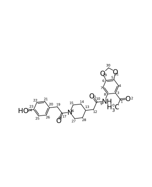 CC(=O)c1cc2c(cc1NC(=O)CC1CCN(C(=O)Cc3ccc(O)cc3)CC1)OCO2